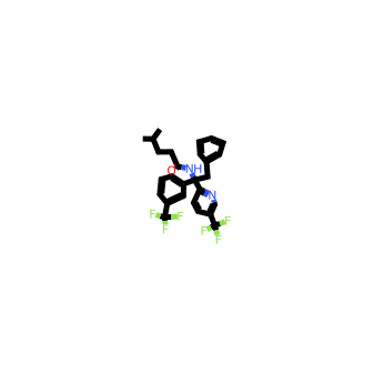 CC(C)CCC(=O)NC(Cc1ccccc1)(c1cccc(C(F)(F)F)c1)c1ccc(C(F)(F)F)cn1